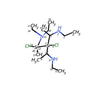 CCNC(C)[Si](Cl)(C(C)NCC)[Si@](C)(Cl)N(CC)CC